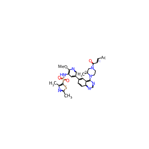 COc1ncc(-c2ccc3ncnc(N4CCN(C(=O)/C=C/C(C)=O)C[C@@H]4C)c3c2)cc1NS(=O)(=O)c1sc(C)nc1C